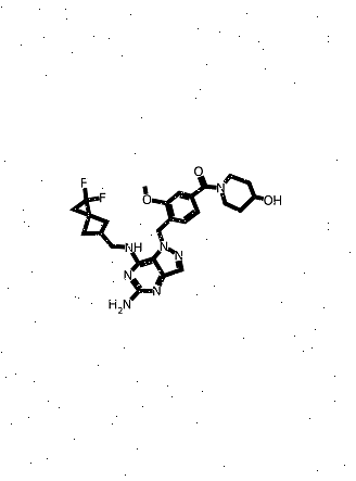 COc1cc(C(=O)N2CCC(O)CC2)ccc1Cn1ncc2nc(N)nc(NCC3CC4(C3)CC4(F)F)c21